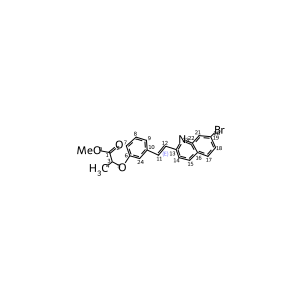 COC(=O)C(C)Oc1cccc(/C=C/c2ccc3ccc(Br)cc3n2)c1